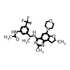 CC(=O)Nc1cc([C@@H](C)Nc2nc(C)nc3c4c(c(N5CCOCC5)cc23)O[C@H](C)C4)cc(C(F)(F)F)c1